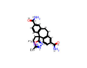 CCc1nnc(C2(C[C@@H](C)N)c3ccc(C(N)=O)cc3CCc3cc(C(N)=O)ccc32)o1